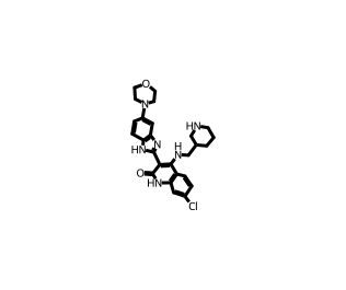 O=c1[nH]c2cc(Cl)ccc2c(NCC2CCCNC2)c1-c1nc2cc(N3CCOCC3)ccc2[nH]1